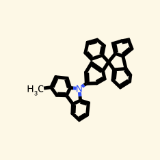 Cc1ccc2c(c1)c1ccccc1n2-c1ccc(C2(c3ccccc3)c3ccccc3-c3ccccc32)cc1